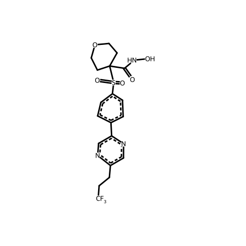 O=C(NO)C1(S(=O)(=O)c2ccc(-c3cnc(CCC(F)(F)F)cn3)cc2)CCOCC1